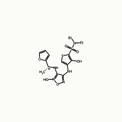 CCN(CC)S(=O)(=O)c1scc(Nc2no[n+](O)c2N[C@H](C)c2ccco2)c1O